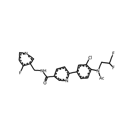 CC(=O)N(CC(F)F)c1ccc(-c2ccc(C(=O)NCc3cnccc3F)cn2)cc1Cl